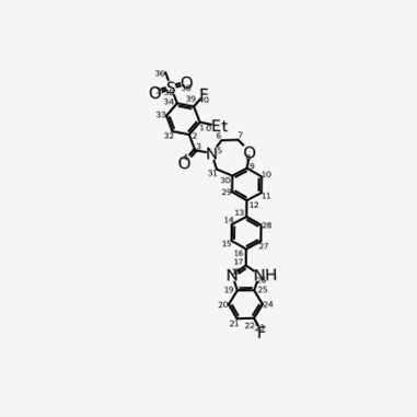 CCc1c(C(=O)N2CCOc3ccc(-c4ccc(-c5nc6ccc(F)cc6[nH]5)cc4)cc3C2)ccc(S(C)(=O)=O)c1F